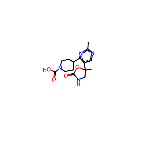 Cc1ncc(C2(C)CNC(=O)O2)c(C2CCN(C(=O)O)CC2)n1